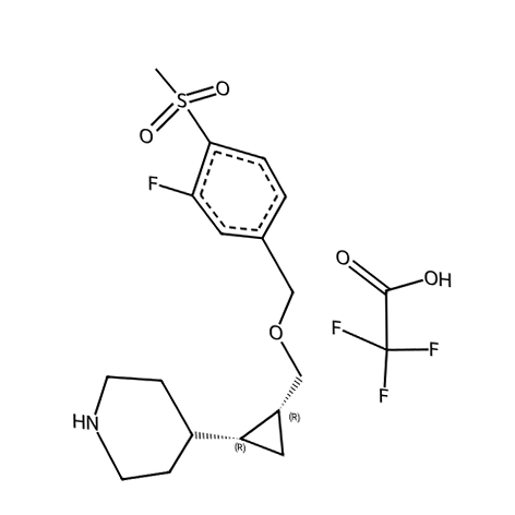 CS(=O)(=O)c1ccc(COC[C@@H]2C[C@@H]2C2CCNCC2)cc1F.O=C(O)C(F)(F)F